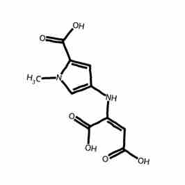 Cn1cc(NC(=CC(=O)O)C(=O)O)cc1C(=O)O